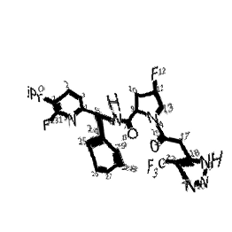 CC(C)c1ccc(C(NC(=O)C2CC(F)CN2C(=O)Cc2[nH]nnc2C(F)(F)F)c2ccccc2)nc1F